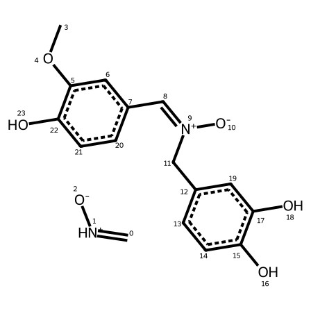 C=[NH+][O-].COc1cc(/C=[N+](/[O-])Cc2ccc(O)c(O)c2)ccc1O